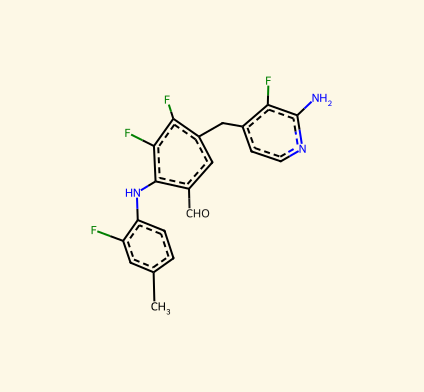 Cc1ccc(Nc2c(C=O)cc(Cc3ccnc(N)c3F)c(F)c2F)c(F)c1